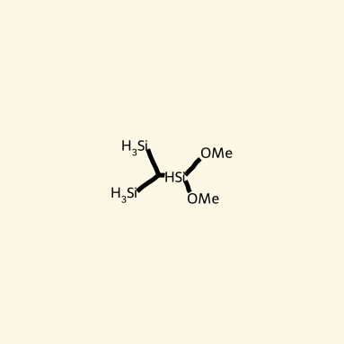 CO[SiH](OC)C([SiH3])[SiH3]